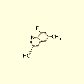 C#Cc1cnc2c(F)cc(C)cc2c1